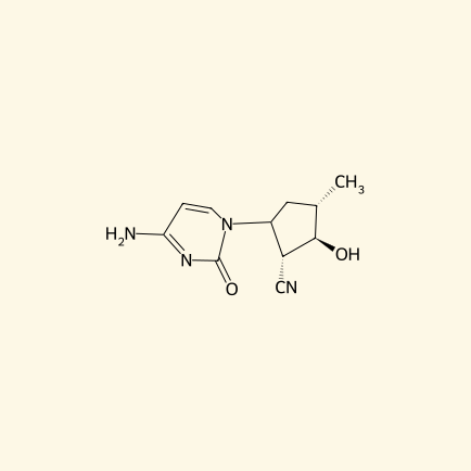 C[C@H]1CC(n2ccc(N)nc2=O)[C@@H](C#N)[C@@H]1O